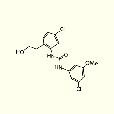 COc1cc(Cl)cc(NC(=O)Nc2cc(Cl)ccc2CCO)c1